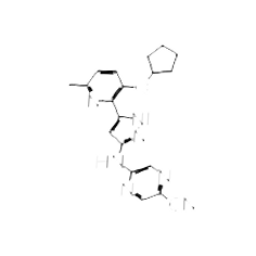 Cc1ccc(OC2CCCC2)c(-c2cc(Nc3cnc(C#N)cn3)n[nH]2)n1